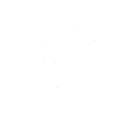 C[C@@H]([C]=O)NC(=O)Cc1cccc(Oc2ccccc2)c1